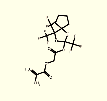 C=C(C)C(=O)OCC(=O)OC1(C(F)(F)F)OC2(CCCC2)C(C(F)(F)F)(C(F)(F)F)O1